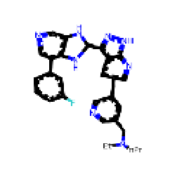 CCCN(CC)Cc1cncc(-c2cnc3[nH]nc(C4Nc5cncc(-c6cccc(F)c6)c5N4)c3c2)c1